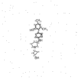 Cc1cc(C)c(-c2cnc(N[C@@H]3CCCN([C@H]4C[C@@H](O)C4)C3)nn2)c(O)c1